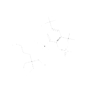 CC(C)(C)c1cc(C(C)(C)C)c(OP(=O)(O)O)c(C(C)(C)C)c1.CCCCC(CC)(CO)CO